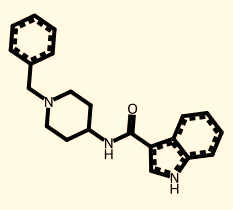 O=C(NC1CCN(Cc2ccccc2)CC1)c1c[nH]c2ccccc12